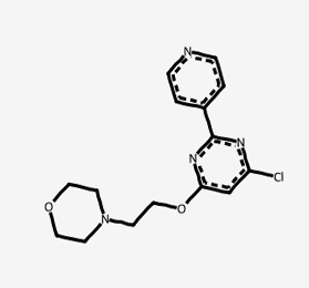 Clc1cc(OCCN2CCOCC2)nc(-c2ccncc2)n1